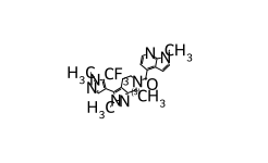 C[C@H]1c2nn(C)c(-c3cnn(C)c3C(F)(F)F)c2CCN1C(=O)c1ccnc2c1ccn2C